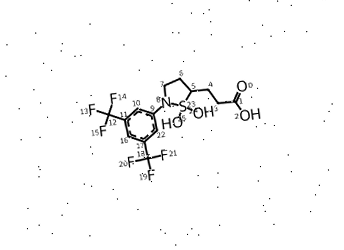 O=C(O)CCC1CCN(c2cc(C(F)(F)F)cc(C(F)(F)F)c2)S1(O)O